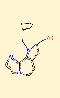 OCc1cc2ccn3ccnc3c2n1CC1CC1